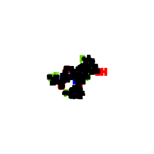 C#Cc1c(F)ccc2cc(O)cc(-c3ncc4c(N5CCOCC6(CN(C(=O)[C@H]7CC7(F)F)C6)C5)nc(OC[C@@]56CCCN5C[C@H](F)C6)nc4c3F)c12